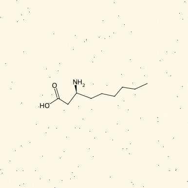 CCCCCC[C@H](N)CC(=O)O